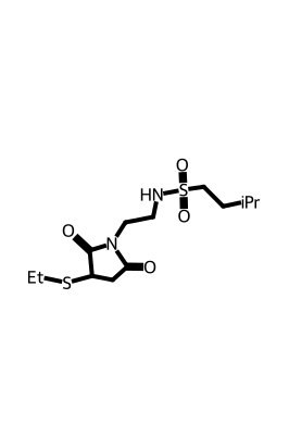 CCSC1CC(=O)N(CCNS(=O)(=O)CCC(C)C)C1=O